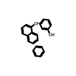 Oc1cccc2ccccc12.Oc1ccccc1.c1ccccc1